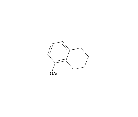 CC(=O)Oc1cccc2c1CC[N]C2